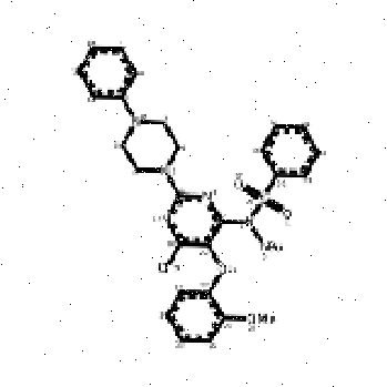 CCCCN(c1nc(N2CCN(c3ccccc3)CC2)nc(Cl)c1Oc1ccccc1OC)S(=O)(=O)c1ccccc1